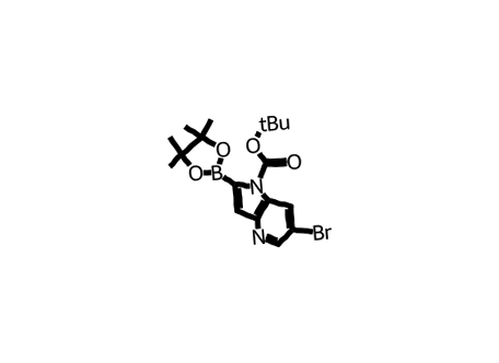 CC(C)(C)OC(=O)n1c(B2OC(C)(C)C(C)(C)O2)cc2ncc(Br)cc21